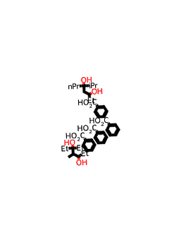 CCC(O)C(C)C(O)(CC)CC.CCCC(O)(CC(O)CC)C(C)C.O=C(O)c1ccccc1.O=C(O)c1ccccc1.O=C(O)c1ccccc1.O=C(O)c1ccccc1